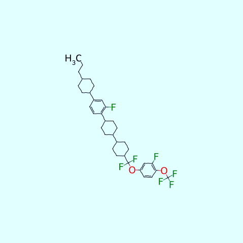 CCCC1CCC(c2ccc(C3CCC(C4CCC(C(F)(F)Oc5ccc(OC(F)(F)F)c(F)c5)CC4)CC3)c(F)c2)CC1